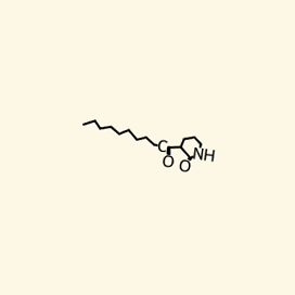 CCCCCCCCCCC(=O)C1CCCNC1=O